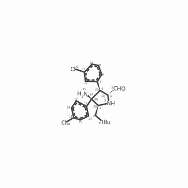 CC(C)(C)C[C@@H]1N[C@@H](C=O)[C@H](c2cccc(Cl)c2)[C@@]1(N)c1ccc(Cl)cc1